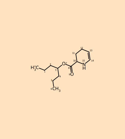 CCCC(CCC)OC(=O)C1CCC=CN1